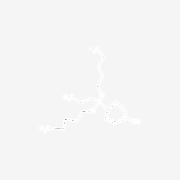 CCCCCO[Si](CCC)(OCCCCC)c1ccc(O)cc1